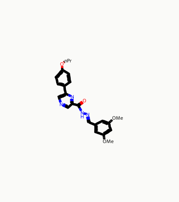 CCCOc1ccc(-c2cncc(C(=O)N/N=C/c3cc(OC)cc(OC)c3)n2)cc1